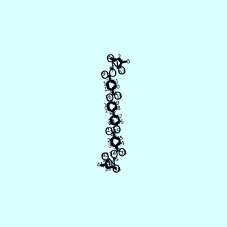 CC1=CC(=O)N(COC(=O)c2ccc(C(=O)Oc3ccc(-c4ccc(OC(=O)c5ccc(C(=O)OCN6C(=O)C=C(C)C6=O)cc5)cc4)cc3)cc2)C1=O